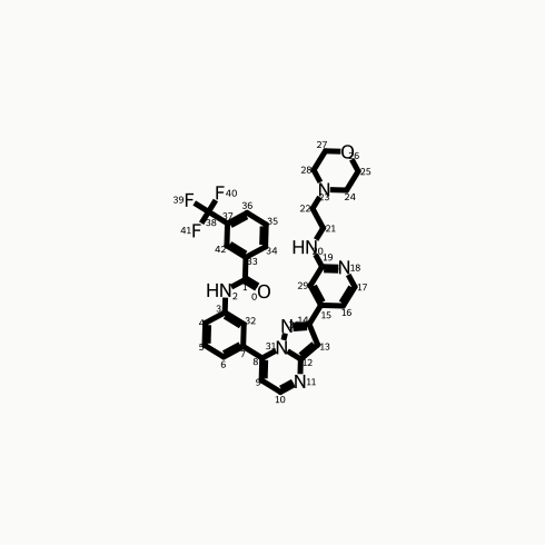 O=C(Nc1cccc(-c2ccnc3cc(-c4ccnc(NCCN5CCOCC5)c4)nn23)c1)c1cccc(C(F)(F)F)c1